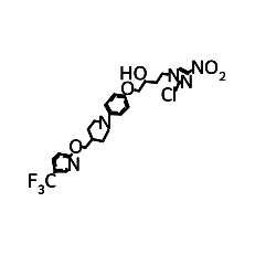 O=[N+]([O-])c1cn(CCC(O)COc2ccc(N3CCC(COc4ccc(C(F)(F)F)cn4)CC3)cc2)c(Cl)n1